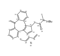 C=C1c2ccccc2C2=C(c3ccccc31)C(C[Si](=O)N(C)C(C)(C)C)C=C2.C=CC=CC.[Ti]